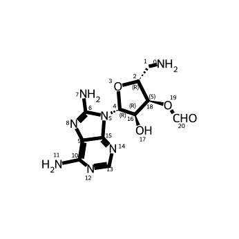 NC[C@H]1O[C@@H](n2c(N)nc3c(N)ncnc32)[C@H](O)[C@@H]1OC=O